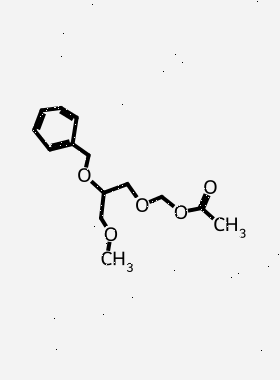 COCC(COCOC(C)=O)OCc1ccccc1